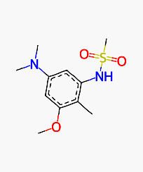 COc1cc(N(C)C)cc(NS(C)(=O)=O)c1C